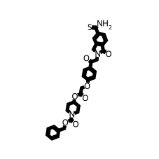 NC(=S)c1ccc2c(c1)CN(CC(=O)c1ccc(OCC(=O)OC3CCN(C(=O)OCc4ccccc4)CC3)cc1)C2=O